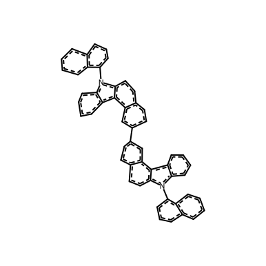 c1ccc2c(-n3c4ccccc4c4c5cc(-c6ccc7ccc8c(c7c6)c6ccccc6n8-c6cccc7ccccc67)ccc5ccc43)cccc2c1